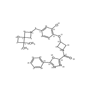 CC1(C)COC12CN(Cc1ccc(OC3CN(C(=O)c4nnc(-c5ccccc5)o4)C3)c(Cl)c1)C2